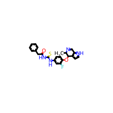 CC1N=Cc2[nH]ccc2C1Oc1ccc(NC(=S)NC(=O)Cc2ccccc2)cc1F